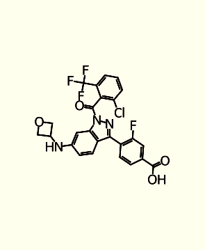 O=C(O)c1ccc(-c2nn(C(=O)c3c(Cl)cccc3C(F)(F)F)c3cc(NC4COC4)ccc23)c(F)c1